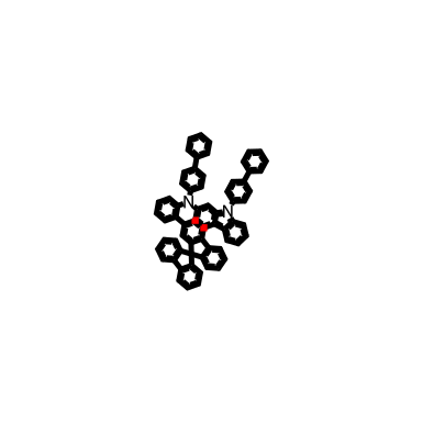 c1ccc(-c2ccc(N(c3ccc4c5ccccc5n(-c5ccc(-c6ccccc6)cc5)c4c3)c3ccccc3-c3ccc4c(c3)C3(c5ccccc5-c5ccccc53)c3ccccc3-4)cc2)cc1